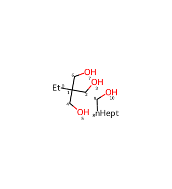 CCC(CO)(CO)CO.CCCCCCCCO